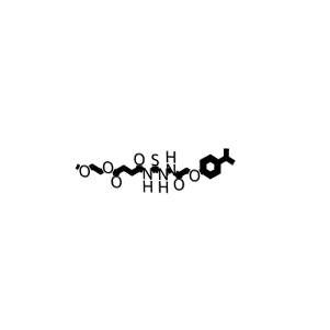 COCCOC(=O)CCC(=O)NC(=S)NNC(=O)COc1ccc(C(C)C)cc1